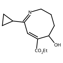 CCOC(=O)/C1=C/C(C2CC2)=N\CCCC1O